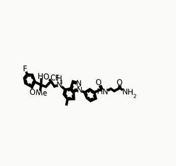 COc1ccc(F)cc1C(C)(C)CC(O)(CNc1cc(C)cc2c1cnn2-c1cccc(C(=O)NCCC(N)=O)c1)C(F)(F)F